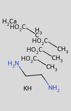 CC(=O)O.CC(=O)O.CC(=O)O.CC(=O)O.NCCN.[CaH2].[KH]